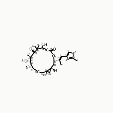 C/C(=C\c1csc(C)n1)[C@@H]1C[C@@H]2C[C@]2(C)CCC[C@H](C)[C@H](O)[C@@H](C)C(=O)C(C)(C)[C@@H](O)CC(=O)O1